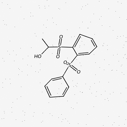 CC(O)S(=O)(=O)c1ccccc1S(=O)(=O)c1ccccc1